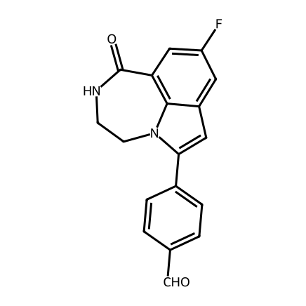 O=Cc1ccc(-c2cc3cc(F)cc4c3n2CCNC4=O)cc1